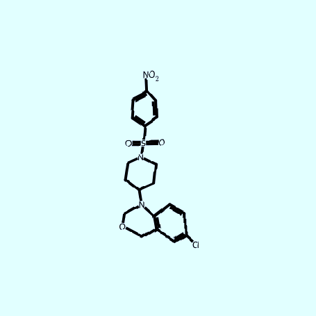 O=[N+]([O-])c1ccc(S(=O)(=O)N2CCC(N3COCc4cc(Cl)ccc43)CC2)cc1